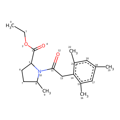 CCOC(=O)C1CCC(C)N1C(=O)Cc1c(C)cc(C)cc1C